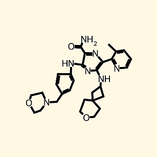 Cc1cccnc1-c1nc(C(N)=O)c(Nc2ccc(CN3CCOCC3)cc2)nc1NC1CC2(CCOCC2)C1